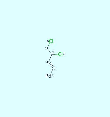 ClCC(Cl)C=[CH][Pd]